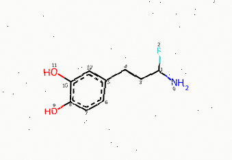 NC(F)CCc1ccc(O)c(O)c1